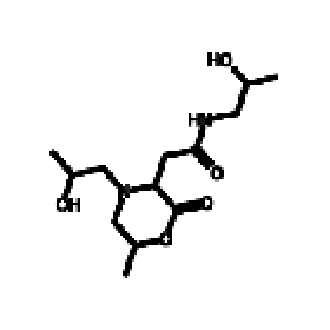 CC(O)CNC(=O)CC1C(=O)OC(C)CN1CC(C)O